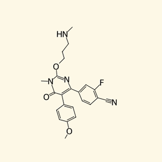 CNCCCOc1nc(-c2ccc(C#N)c(F)c2)c(-c2ccc(OC)cc2)c(=O)n1C